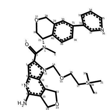 CN(C(=O)c1cc2nc(N)c3c(c2n1COCC[Si](C)(C)C)COC3)[C@@H]1COCc2cc(-c3cccnc3)ccc21